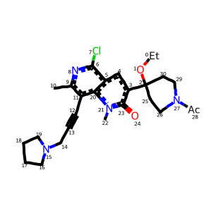 CCOC1(c2cc3c(Cl)nc(C)c(C#CCN4CCCC4)c3n(C)c2=O)CCN(C(C)=O)CC1